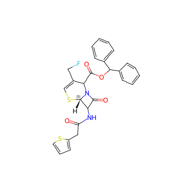 O=C(Cc1cccs1)NC1C(=O)N2C(C(=O)OC(c3ccccc3)c3ccccc3)C(CF)=CS[C@@H]12